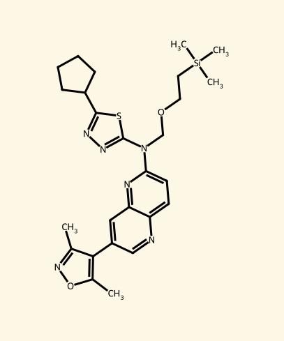 Cc1noc(C)c1-c1cnc2ccc(N(COCC[Si](C)(C)C)c3nnc(C4CCCC4)s3)nc2c1